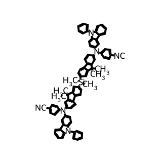 [C-]#[N+]c1ccc(N(c2ccc3c(c2)C(C)(C)c2cc([Si](C)(C)c4ccc5c(c4)C(C)(C)c4cc(N(c6ccc(C#N)cc6)c6ccc7c(c6)c6ccccc6n7-c6ccccc6)ccc4-5)ccc2-3)c2ccc3c(c2)c2ccccc2n3-c2ccccc2)cc1